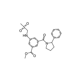 COC(=O)c1cc(NCS(C)(=O)=O)cc(C(=O)N2CCCC2c2ccccc2)c1